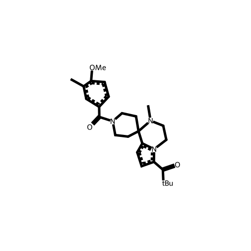 COc1ccc(C(=O)N2CCC3(CC2)c2ccc(C(=O)C(C)(C)C)n2CCN3C)cc1C